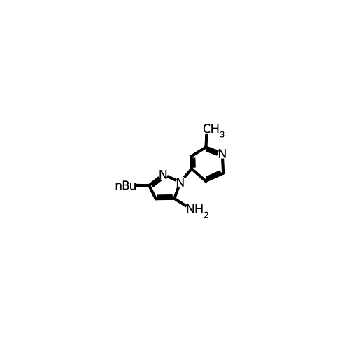 CCCCc1cc(N)n(-c2ccnc(C)c2)n1